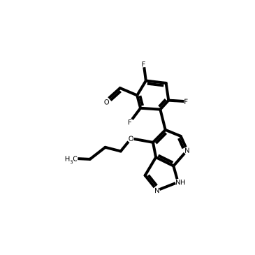 CCCCOc1c(-c2c(F)cc(F)c(C=O)c2F)cnc2[nH]ncc12